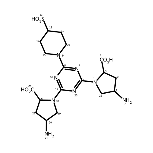 NC1CC(C(=O)O)N(c2nc(N3CCC(S(=O)(=O)O)CC3)nc(N3CC(N)CC3C(=O)O)n2)C1